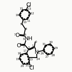 CC1=C(C(=O)NC(=O)CCc2ccc(Cl)cc2)c2cccc(Cl)c2CN1c1ccccc1